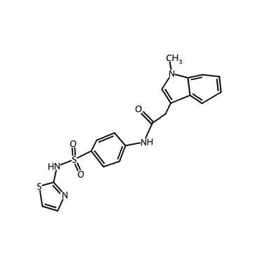 Cn1cc(CC(=O)Nc2ccc(S(=O)(=O)Nc3nccs3)cc2)c2ccccc21